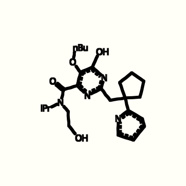 CCCCOc1c(O)nc(CC2(c3ccccn3)CCCC2)nc1C(=O)N(CCO)C(C)C